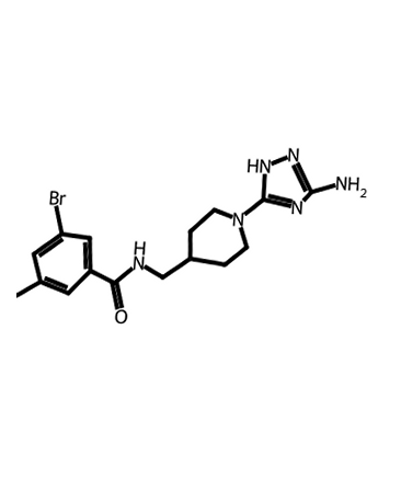 Nc1n[nH]c(N2CCC(CNC(=O)c3cc(Br)cc(Br)c3)CC2)n1